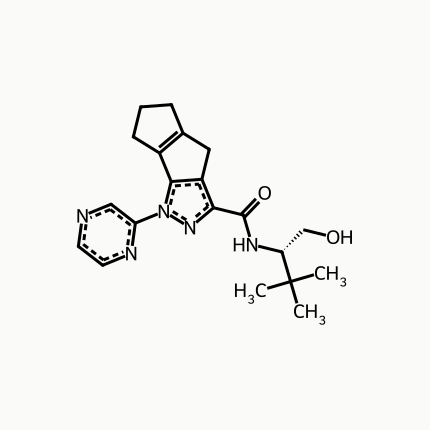 CC(C)(C)[C@@H](CO)NC(=O)c1nn(-c2cnccn2)c2c1CC1=C2CCC1